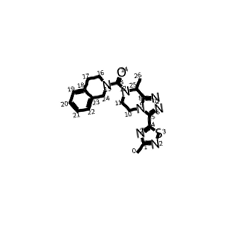 Cc1nsc(-c2nnc3n2CCN(C(=O)N2CCc4ccccc4C2)C3C)n1